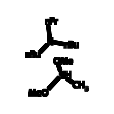 CO[SiH](C)OC.[CH2]CCN(CCCC)CCCC